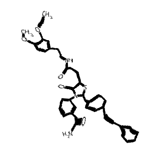 CCOc1cc(CCNC(=O)CC2SC(c3ccc(C#Cc4ccccc4)cc3)N(c3cccc(C(N)=O)c3)C2=O)ccc1OC